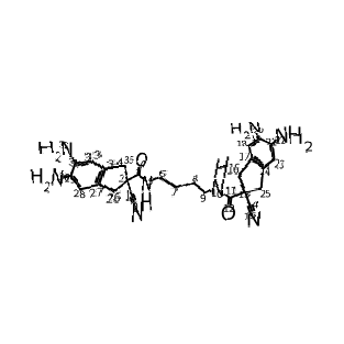 N#CC1(C(=O)NCCCCNC(=O)C2(C#N)Cc3cc(N)c(N)cc3C2)Cc2cc(N)c(N)cc2C1